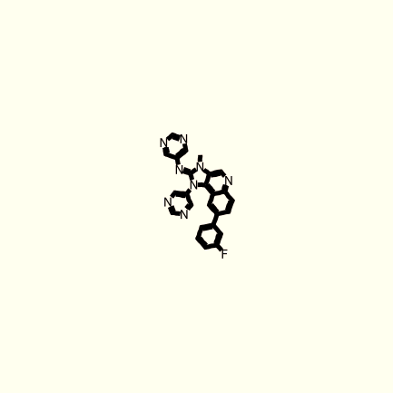 Cn1/c(=N\c2cncnc2)n(-c2cncnc2)c2c3cc(-c4cccc(F)c4)ccc3ncc21